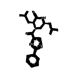 CC(C)C[C@H]1CN(C(=O)c2coc(-c3ccccc3)n2)[C@@H](CC(C)C)C(=O)N1